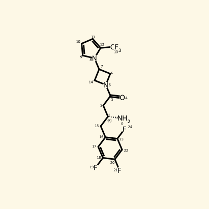 N[C@@H](CC(=O)N1CC(n2cccc2C(F)(F)F)C1)Cc1cc(F)c(F)cc1F